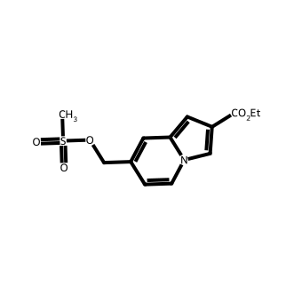 CCOC(=O)c1cc2cc(COS(C)(=O)=O)ccn2c1